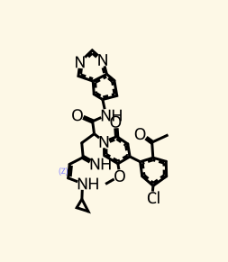 COc1cn(C(CC(=N)/C=C\NC2CC2)C(=O)Nc2ccc3ncncc3c2)c(=O)cc1-c1cc(Cl)ccc1C(C)=O